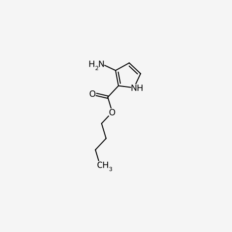 CCCCOC(=O)c1[nH]ccc1N